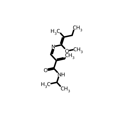 C\C=C(/C=N\C(OC)=C(/C)CC)C(=O)NC(C)C